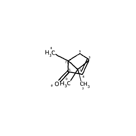 CC1(C)C2=CC(=O)C1(C)C2